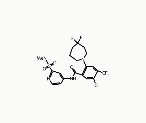 CNS(=O)(=O)c1cc(NC(=O)c2cc(Cl)c(C(F)(F)F)cc2N2CCCC(F)(F)CC2)ccn1